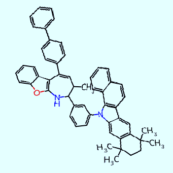 CC1C=C(c2ccc(-c3ccccc3)cc2)c2c(oc3ccccc23)NC1c1cccc(-n2c3cc4c(cc3c3ccc5ccccc5c32)C(C)(C)CCC4(C)C)c1